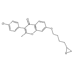 Cc1oc2cc(OCCCCC3CO3)ccc2c(=O)c1-c1ccc(Cl)cc1